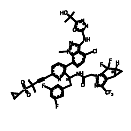 Cn1nc(Nc2nnc(C(C)(C)O)o2)c2c(Cl)ccc(-c3ccc(C#CC(C)(C)S(=O)(=O)C4CC4)nc3[C@H](Cc3cc(F)cc(F)c3)NC(=O)Cn3nc(C(F)(F)F)c4c3C(F)(F)[C@@H]3CC43)c21